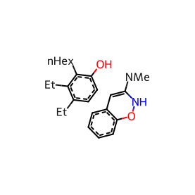 CCCCCCc1c(O)ccc(CC)c1CC.CNC1=Cc2ccccc2ON1